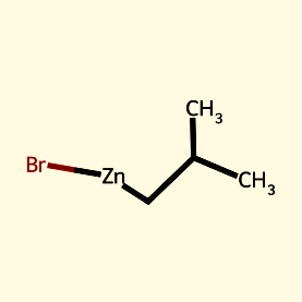 CC(C)[CH2][Zn][Br]